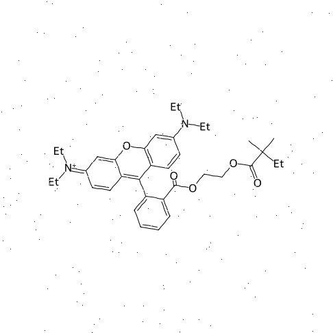 CCN(CC)c1ccc2c(-c3ccccc3C(=O)OCCOC(=O)C(C)(C)CC)c3ccc(=[N+](CC)CC)cc-3oc2c1